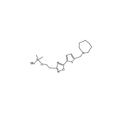 CC(C)(C)[Si](C)(C)OCCc1noc(-c2ccc(CN3CCCCCC3)s2)n1